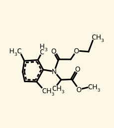 CCOCC(=O)N(c1c(C)ccc(C)c1C)C(C)C(=O)OC